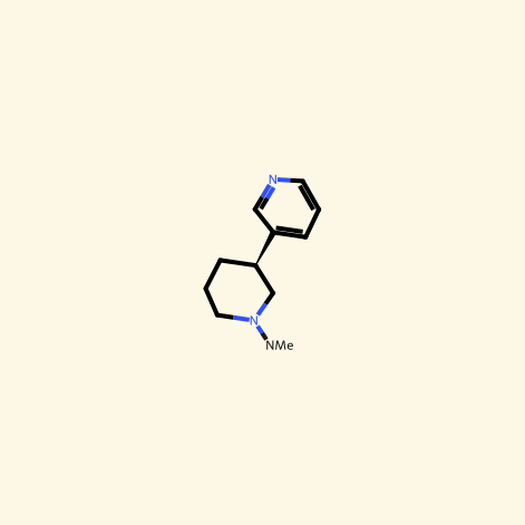 CNN1CCC[C@@H](c2cccnc2)C1